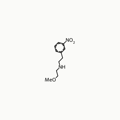 COCCNCCc1cccc([N+](=O)[O-])c1